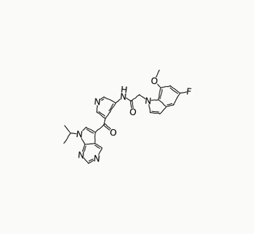 COc1cc(F)cc2ccn(CC(=O)Nc3cncc(C(=O)c4cn(C(C)C)c5ncncc45)c3)c12